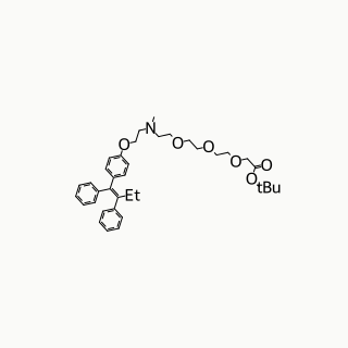 CCC(=C(c1ccccc1)c1ccc(OCCN(C)CCOCCOCCOCC(=O)OC(C)(C)C)cc1)c1ccccc1